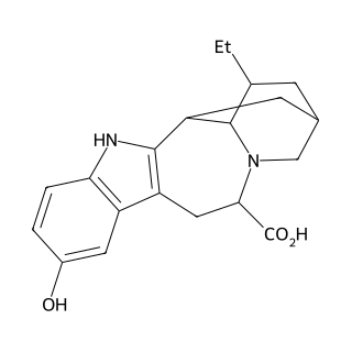 CCC1CC2CC3c4[nH]c5ccc(O)cc5c4CC(C(=O)O)N(C2)C13